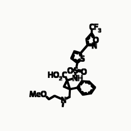 COCCN(C)CC1(c2ccccc2)CC1(NS(=O)(=O)c1ccc(-c2cc(C(F)(F)F)on2)s1)C(=O)O